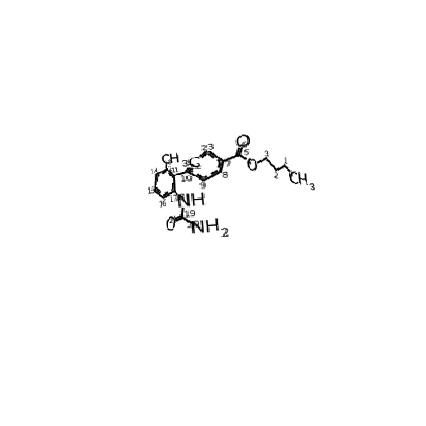 CCCCOC(=O)c1ccc(-c2c(C)cccc2NC(N)=O)cc1